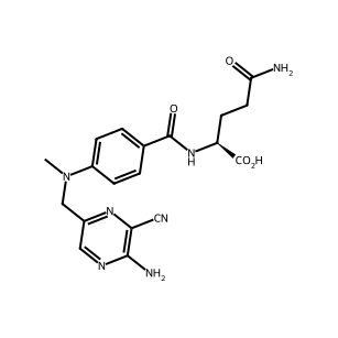 CN(Cc1cnc(N)c(C#N)n1)c1ccc(C(=O)N[C@@H](CCC(N)=O)C(=O)O)cc1